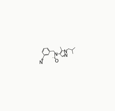 Cc1c(N([C]=O)Cc2cccc(C#N)c2)cnn1CC(C)C